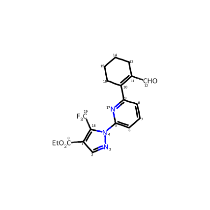 CCOC(=O)c1cnn(-c2cccc(C3=C(C=O)CCCC3)n2)c1C(F)(F)F